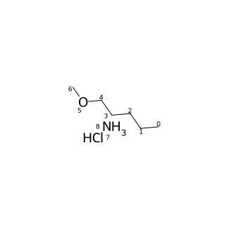 CCCCCOC.Cl.N